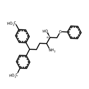 NC(CCC(c1ccc(C(=O)O)cc1)c1ccc(C(=O)O)cc1)[C@@H](O)COc1ccccc1